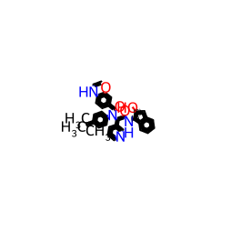 CC(C)(C)c1ccc(N(C(=O)c2ccc3c(c2)OCCN3)C(C(=O)N[C@@H]2c3ccccc3C[C@@H]2O)c2cccnc2)cc1